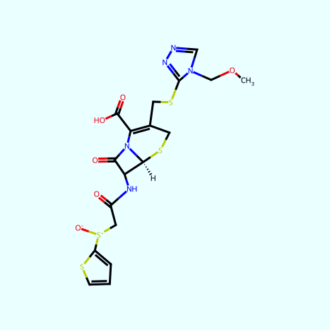 COCn1cnnc1SCC1=C(C(=O)O)N2C(=O)C(NC(=O)C[S+]([O-])c3cccs3)[C@@H]2SC1